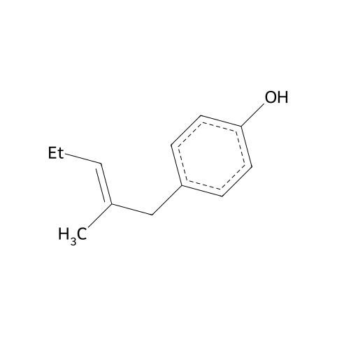 CCC=C(C)Cc1ccc(O)cc1